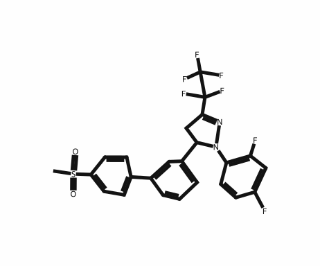 CS(=O)(=O)c1ccc(-c2cccc(C3CC(C(F)(F)C(F)(F)F)=NN3c3ccc(F)cc3F)c2)cc1